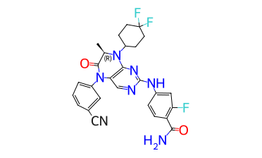 C[C@@H]1C(=O)N(c2cccc(C#N)c2)c2cnc(Nc3ccc(C(N)=O)c(F)c3)nc2N1C1CCC(F)(F)CC1